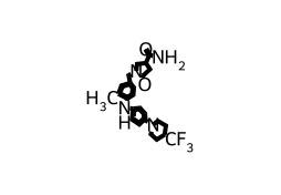 Cc1cc(CN2CC(C(N)=O)CC2=O)ccc1Nc1ccc(N2CCC(C(F)(F)F)CC2)cc1